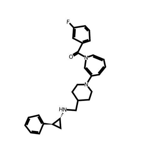 O=C(c1cccc(F)c1)N1C=CC=CC(N2CCC(CN[C@@H]3C[C@H]3c3ccccc3)CC2)=C1